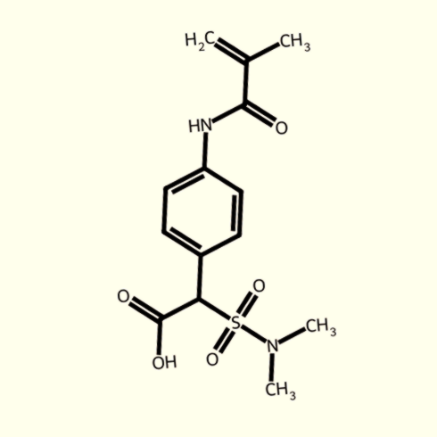 C=C(C)C(=O)Nc1ccc(C(C(=O)O)S(=O)(=O)N(C)C)cc1